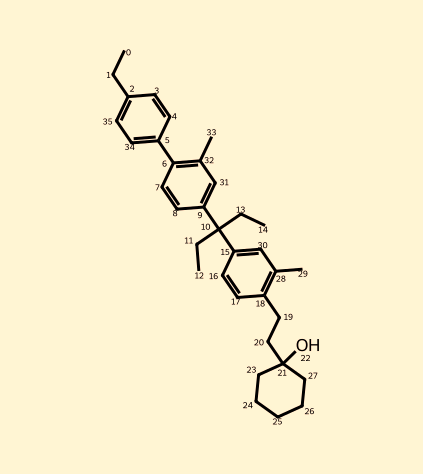 CCc1ccc(-c2ccc(C(CC)(CC)c3ccc(CCC4(O)CCCCC4)c(C)c3)cc2C)cc1